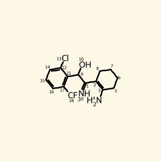 N=C(C1=C(N)CCCC1)C(O)c1c(Cl)cccc1C(F)(F)F